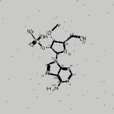 CO[C@H]1[C@@H](OP(=O)(O)O)[C@H](n2cnc3c(N)ncnc32)O[C@@H]1CO